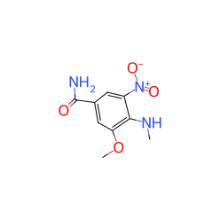 CNc1c(OC)cc(C(N)=O)cc1[N+](=O)[O-]